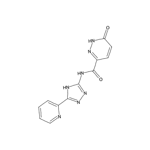 O=C(Nc1nnc(-c2ccccn2)[nH]1)c1ccc(=O)[nH]n1